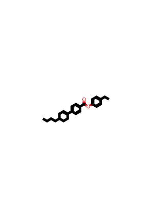 CCCCC1CC=C(c2ccc(C(=O)Oc3ccc(CC)cc3)cc2)CC1